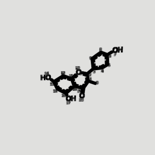 Cc1c(-c2ccc(O)cc2)oc2cc(O)cc(O)c2c1=O